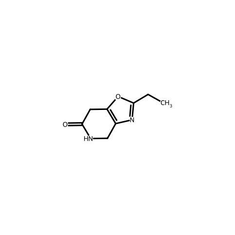 CCc1nc2c(o1)CC(=O)NC2